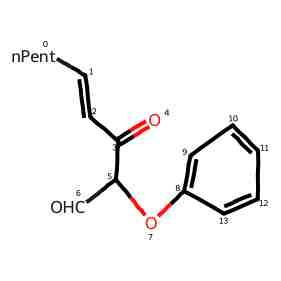 CCCCCC=CC(=O)C(C=O)Oc1ccccc1